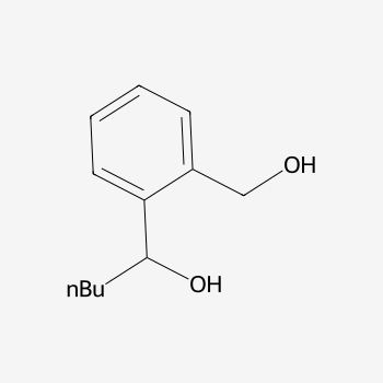 CCCCC(O)c1ccccc1CO